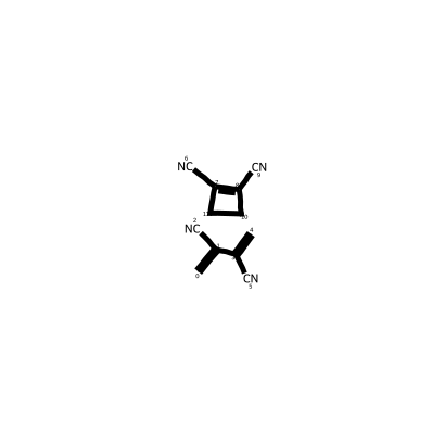 C=C(C#N)C(=C)C#N.N#CC1=C(C#N)CC1